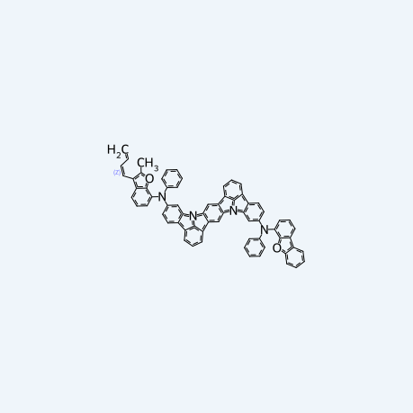 C=C/C=C\c1c(C)oc2c(N(c3ccccc3)c3ccc4c5cccc6c7cc8c(cc7n(c4c3)c56)c3cccc4c5ccc(N(c6ccccc6)c6cccc7c6oc6ccccc67)cc5n8c43)cccc12